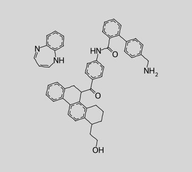 C1=CNc2ccccc2N=C1.NCc1ccc(-c2ccccc2C(=O)Nc2ccc(C(=O)C3Cc4ccccc4-c4ccc5c(c43)CCCC5CCO)cc2)cc1